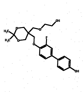 CC1(C)OCC(COCCO)(COc2ccc(-c3ccc(O)cc3)cc2F)CO1